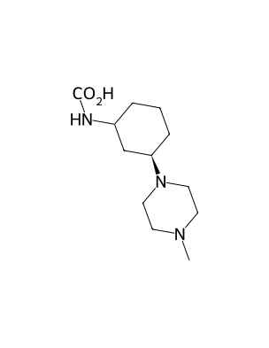 CN1CCN([C@@H]2CCCC(NC(=O)O)C2)CC1